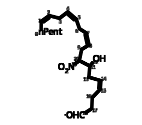 CCCCC/C=C\C/C=C\C/C=C\CC(C(O)C/C=C\CC[C]=O)[N+](=O)[O-]